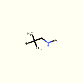 [2H]C(C)(C)CNC(C)=O